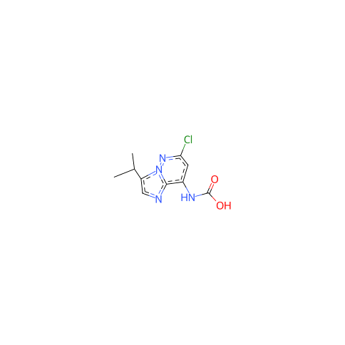 CC(C)c1cnc2c(NC(=O)O)cc(Cl)nn12